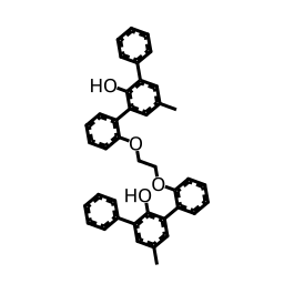 Cc1cc(-c2ccccc2)c(O)c(-c2ccccc2OCCOc2ccccc2-c2cc(C)cc(-c3ccccc3)c2O)c1